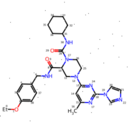 CCOc1ccc(CNC(=O)C2CN(c3cc(C)nc(-n4ccnc4)n3)CCN2C(=O)NC2CCCCC2)cc1